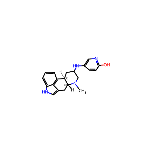 CN1CC(Nc2ccc(O)nc2)C[C@@H]2c3cccc4[nH]cc(c34)C[C@H]21